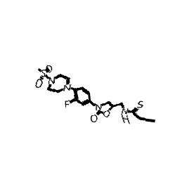 CCC(=S)NCC1CN(c2ccc(N3CCN(S(C)(=O)=O)CC3)c(F)c2)C(=O)O1